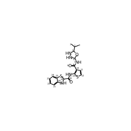 CC(C)C1NNC(NC(=O)c2ccsc2NC(=O)C2Nc3ccccc3S2)O1